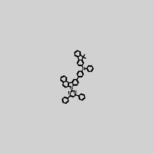 CC1(C)c2ccccc2-c2ccc(N(c3ccccc3)c3ccc(-c4ccc5c(c4)c4c6ccccc6ccc4n5-c4nc(-c5ccccc5)cc(-c5ccccc5)n4)cc3)cc21